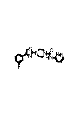 O=C(Nc1cccnn1)N1CCN(c2nc(-c3cccc(F)c3)cs2)CC1